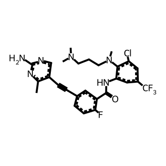 Cc1nc(N)ncc1C#Cc1ccc(F)c(C(=O)Nc2cc(C(F)(F)F)cc(Cl)c2N(C)CCCN(C)C)c1